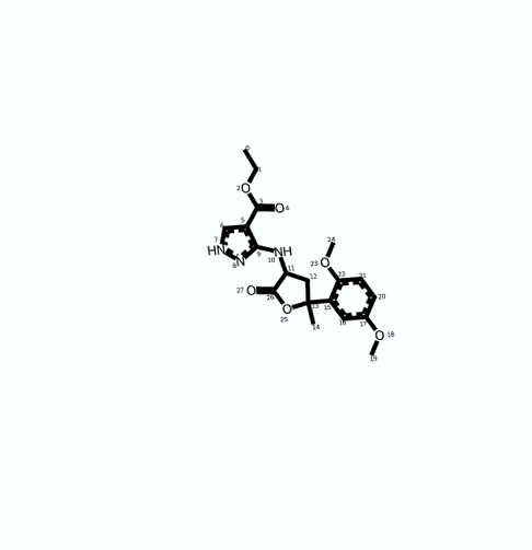 CCOC(=O)c1c[nH]nc1NC1CC(C)(c2cc(OC)ccc2OC)OC1=O